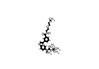 COCCOCCNC(=O)c1cccc(-c2cnc3ccc(N(C)C(=O)OC(C)(C)C)cn23)c1